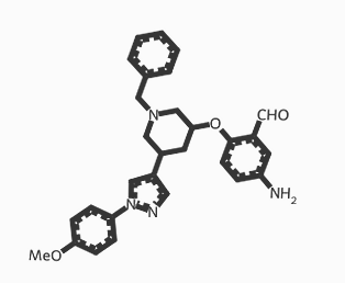 COc1ccc(-n2cc(C3CC(Oc4ccc(N)cc4C=O)CN(Cc4ccccc4)C3)cn2)cc1